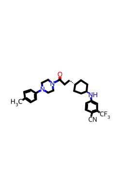 Cc1ccc(N2CCN(C(=O)CC[C@H]3CC[C@H](Nc4ccc(C#N)c(C(F)(F)F)c4)CC3)CC2)cc1